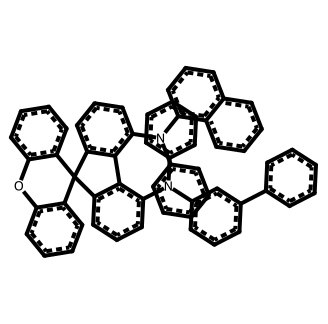 c1ccc(-c2cccc(N(c3ccccc3)c3cccc4c3-c3c(N(c5ccccc5)c5cccc6ccccc56)cccc3C43c4ccccc4Oc4ccccc43)c2)cc1